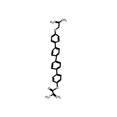 C=C(C)COc1ccc(-c2ccc(-c3ccc(-c4ccc(OC(=O)C(=C)C)cc4)cc3)cc2)cc1